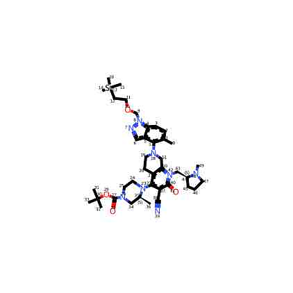 Cc1ccc2c(cnn2COCC[Si](C)(C)C)c1N1CCc2c(N3CCN(C(=O)OC(C)(C)C)C[C@@H]3C)c(C#N)c(=O)n(C[C@@H]3CCCN3C)c2C1